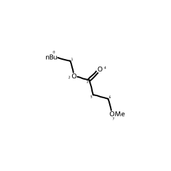 CCCCCOC(=O)CCOC